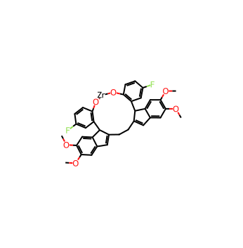 COc1cc2c(cc1OC)C1C(=C2)CCC2=Cc3cc(OC)c(OC)cc3C2c2cc(F)ccc2[O][Zr][O]c2ccc(F)cc21